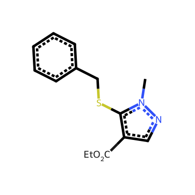 CCOC(=O)c1cnn(C)c1SCc1ccccc1